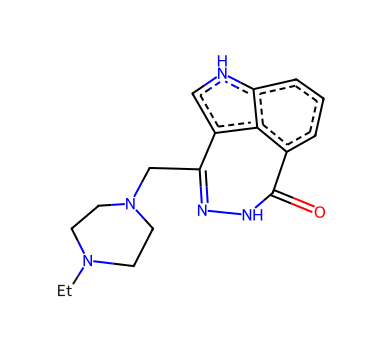 CCN1CCN(CC2=NNC(=O)c3cccc4[nH]cc2c34)CC1